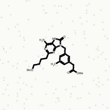 COCCCCc1nc(N)c2[nH]c(=O)n(Cc3cc(C)cc(CC(=O)OC)c3)c2n1